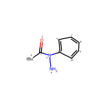 CC(C)(C)C(=O)N(N)c1ccccc1